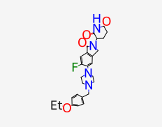 CCOc1ccc(CN2CCN(c3cc4c(cc3F)C(=O)N(C3CCC(=O)NC3=O)C4)CC2)cc1